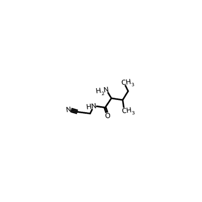 CCC(C)C(N)C(=O)NCC#N